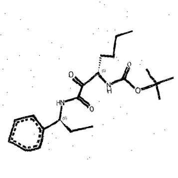 CCCC[C@H](NC(=O)OC(C)(C)C)C(=O)C(=O)N[C@@H](CC)c1ccccc1